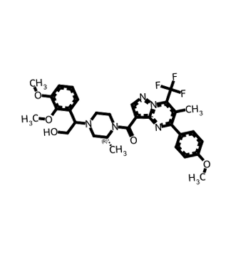 COc1ccc(-c2nc3c(C(=O)N4CCN(C(CO)c5cccc(OC)c5OC)C[C@H]4C)cnn3c(C(F)(F)F)c2C)cc1